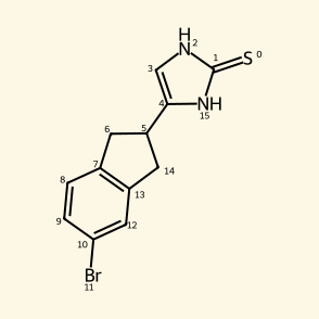 S=c1[nH]cc(C2Cc3ccc(Br)cc3C2)[nH]1